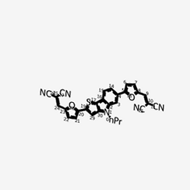 CCCn1c2cc(-c3ccc(C=C(C#N)C#N)o3)ccc2c2sc(-c3ccc(C=C(C#N)C#N)o3)cc21